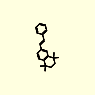 CC1(C)CCC(C)(C)c2cc(C=Cc3ccccc3)ccc21